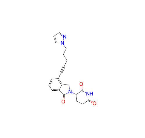 O=C1CCC(N2Cc3c(C#CCCCn4cccn4)cccc3C2=O)C(=O)N1